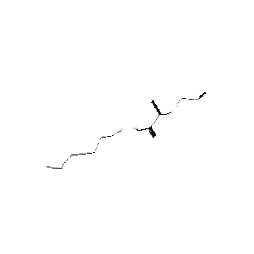 C=CCOC(=O)C(=O)OCCCCCC